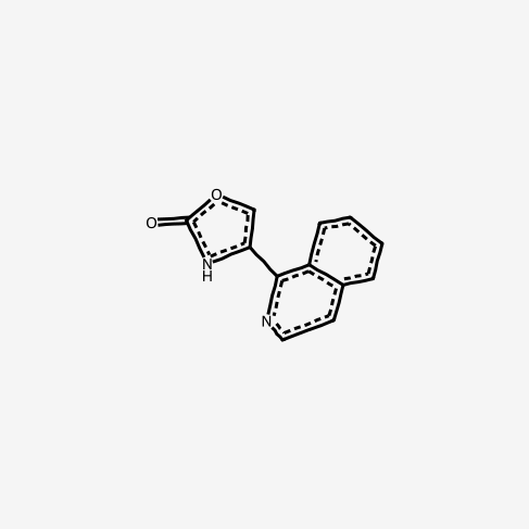 O=c1[nH]c(-c2nccc3ccccc23)co1